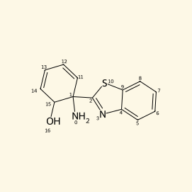 NC1(c2nc3ccccc3s2)C=CC=CC1O